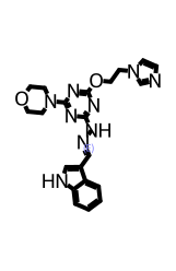 C(=N\Nc1nc(OCCn2ccnc2)nc(N2CCOCC2)n1)/c1c[nH]c2ccccc12